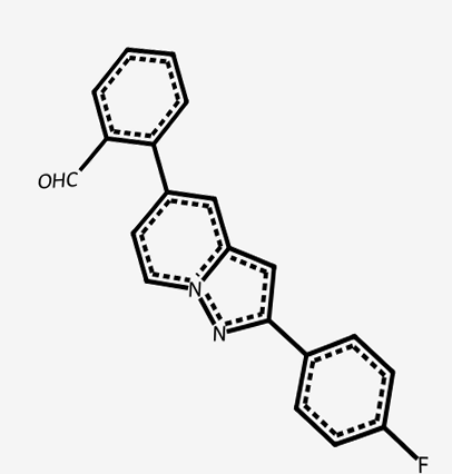 O=Cc1ccccc1-c1ccn2nc(-c3ccc(F)cc3)cc2c1